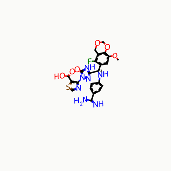 COc1cc([C@H](Nc2ccc(C(=N)N)cc2)c2nn(-c3ncsc3C(=O)O)c(=O)[nH]2)c(F)c2c1OCOC2